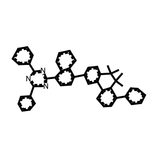 CC1(C)c2ccc(-c3ccc(-c4nc(-c5ccccc5)nc(-c5ccccc5)n4)c4ccccc34)cc2-c2cccc(-c3ccccc3)c2C1(C)C